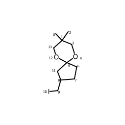 CC1(C)COC2(CCC(CI)C2)OC1